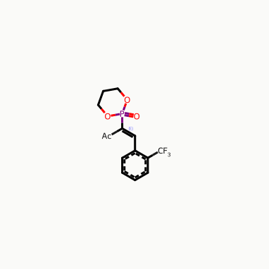 CC(=O)/C(=C\c1ccccc1C(F)(F)F)P1(=O)OCCCO1